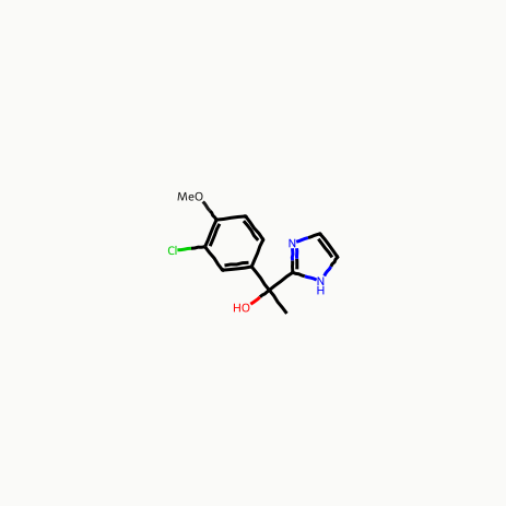 COc1ccc(C(C)(O)c2ncc[nH]2)cc1Cl